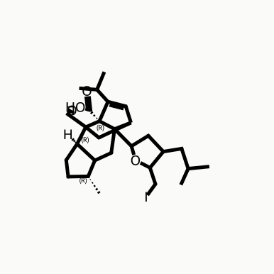 CC(C)CC1CC(C23CC4[C@H](C)CC[C@H]4C4(C=O)CC2C=C(C(C)C)[C@@]34C(=O)O)OC1CI